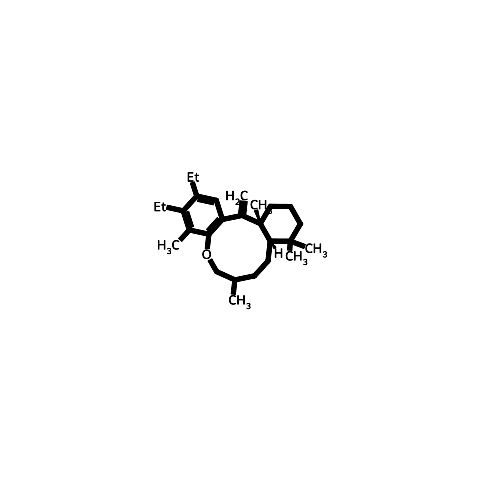 C=C1c2cc(CC)c(CC)c(C)c2OCC(C)CC[C@@H]2C(C)(C)CCC[C@@]12C